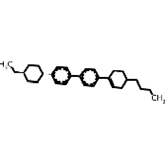 CCCCC1CC=C(c2ccc(-c3ccc([C@H]4CC[C@H](CC)CC4)cc3)cc2)CC1